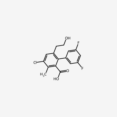 Cc1c(Cl)cc(CCO)c(-c2cc(F)cc(F)c2)c1C(=O)O